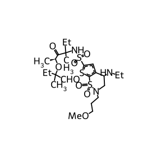 CCN[C@H]1CN(CCCOC)S(=O)(=O)c2sc(S(=O)(=O)NC(C)(CC)C(=O)[C@H](C)OC(C)(C=O)CC)cc21